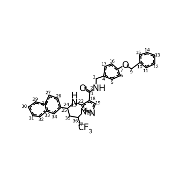 O=C(NCc1ccc(OCc2ccccc2)cc1)c1cnn2c1NC(c1ccc3ccccc3c1)CC2C(F)(F)F